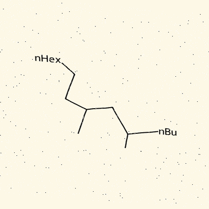 CCCCCCCCC(C)CC(C)CCCC